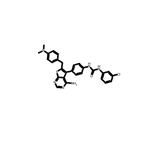 CN(C)c1ccc(Cc2sc3ncnc(N)c3c2-c2ccc(NC(=O)Nc3cccc(Cl)c3)cc2)cc1